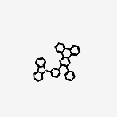 c1ccc(-c2cc3c4ccccc4c4ccccc4c3nc2-c2cccc(-n3c4ccccc4c4ccccc43)c2)cc1